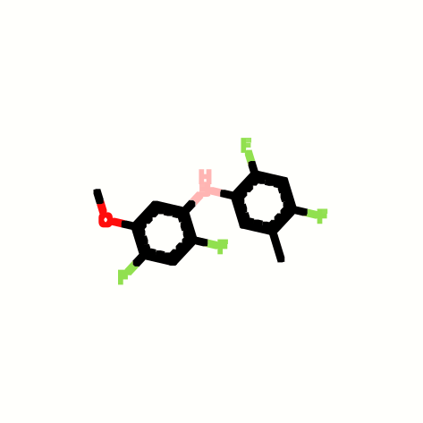 COc1cc(Bc2cc(C)c(F)cc2F)c(F)cc1F